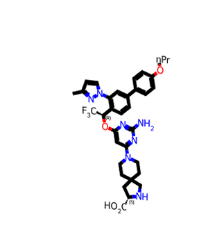 CCCOc1ccc(-c2ccc([C@@H](Oc3cc(N4CCC5(CC4)CN[C@H](C(=O)O)C5)nc(N)n3)C(F)(F)F)c(-n3ccc(C)n3)c2)cc1